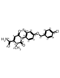 Cn1c(C(N)=O)cc(=O)n(-c2ccc(OCc3ccc(Cl)cc3)cc2F)c1=O